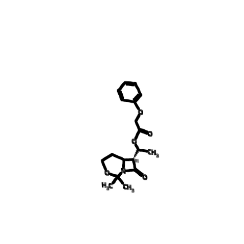 CC(OC(=O)COc1ccccc1)[C@@H]1C(=O)N2C1CCOC2(C)C